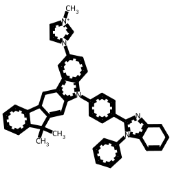 C[n+]1ccn(-c2ccc3c(c2)c2c(n3-c3ccc(-c4nc5c(n4-c4ccccc4)C=CCC5)cc3)C=C3C(C2)c2ccccc2C3(C)C)c1